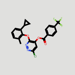 Cc1cccc(C2CC2)c1Oc1nnc(Cl)cc1OC(=O)c1ccc(C(F)(F)F)cc1